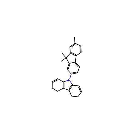 Cc1ccc2c(c1)C(C)(C)c1cc(-n3c4c(c5c3C=CCC5)CCC=C4)ccc1-2